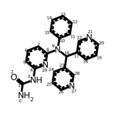 NC(=O)Nc1cccc(N(c2ccccc2)C(c2cccnc2)c2cccnc2)n1